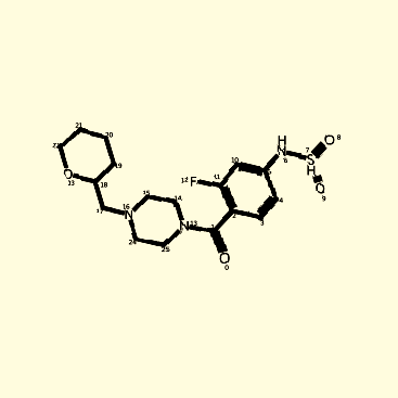 O=C(c1ccc(N[SH](=O)=O)cc1F)N1CCN(CC2CCCCO2)CC1